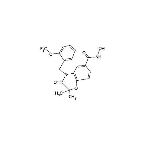 CC1(C)Oc2ccc(C(=O)NO)cc2N(Cc2ccccc2OC(F)(F)F)C1=O